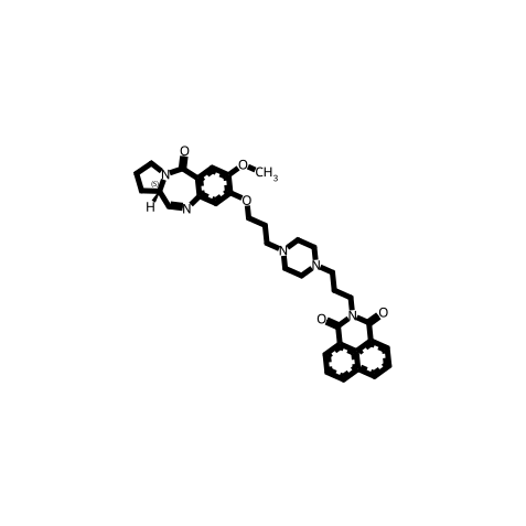 COc1cc2c(cc1OCCCN1CCN(CCCN3C(=O)c4cccc5cccc(c45)C3=O)CC1)N=C[C@@H]1CCCN1C2=O